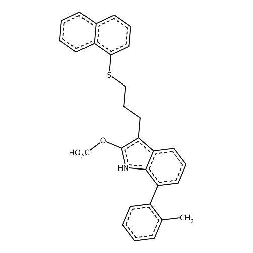 Cc1ccccc1-c1cccc2c(CCCSc3cccc4ccccc34)c(OC(=O)O)[nH]c12